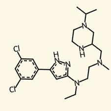 CCN(CCN(C)CC1CN(C(C)C)CCN1)c1cc(-c2cc(Cl)cc(Cl)c2)[nH]n1